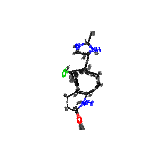 Cc1ncc(-c2ccc3c(c2Cl)CCC(=O)N3)[nH]1